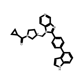 O=C(C1CC1)N1CC[C@@H](Cn2c(-c3ccc(-c4cccc5[nH]ccc45)cc3)nc3cnccc32)C1